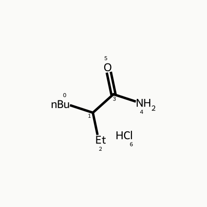 CCCCC(CC)C(N)=O.Cl